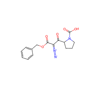 [N-]=[N+]=C(C(=O)OCc1ccccc1)C(=O)C1CCCN1C(=O)O